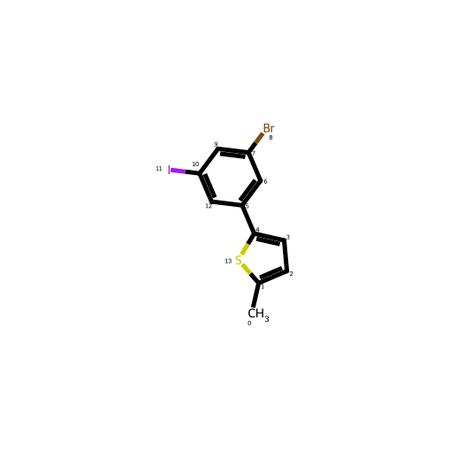 Cc1ccc(-c2cc(Br)cc(I)c2)s1